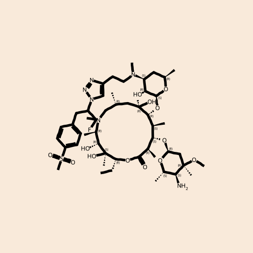 CC[C@H]1OC(=O)[C@H](C)[C@@H](O[C@H]2C[C@@](C)(OC)[C@@H](N)[C@H](C)O2)[C@H](C)[C@@H](O[C@@H]2O[C@H](C)C[C@H](N(C)CCc3cn(C(CF)Cc4ccc(S(C)(=O)=O)cc4)nn3)[C@H]2O)[C@](C)(O)C[C@@H](C)CN(C)[C@H](C)[C@@H](O)[C@]1(C)O